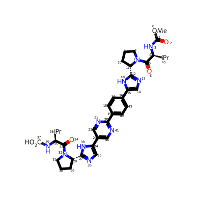 COC(=O)N[C@H](C(=O)N1CCC[C@H]1c1ncc(-c2ccc(-c3ncc(-c4cnc([C@@H]5CCCN5C(=O)[C@@H](NC(=O)O)C(C)C)[nH]4)cn3)cc2)[nH]1)C(C)C